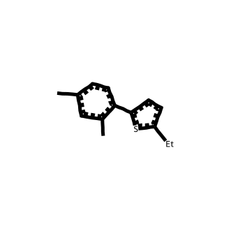 CCc1ccc(-c2ccc(C)cc2C)s1